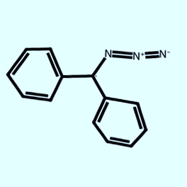 [N-]=[N+]=N[C](c1ccccc1)c1ccccc1